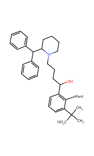 CCCCCc1c(C(O)CCCN2CCCCC2C(c2ccccc2)c2ccccc2)cccc1C(C)(C)C(=O)O